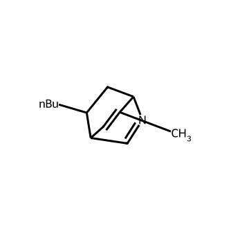 CCCCC1CC2N=CC1C=C2C